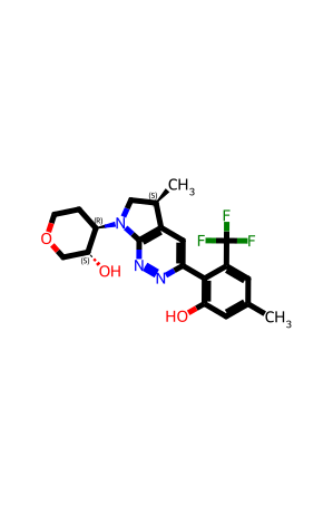 Cc1cc(O)c(-c2cc3c(nn2)N([C@@H]2CCOC[C@H]2O)C[C@H]3C)c(C(F)(F)F)c1